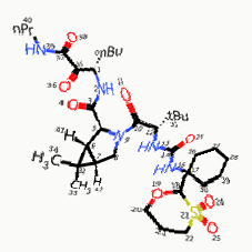 CCCC[C@H](NC(=O)[C@@H]1[C@@H]2[C@H](CN1C(=O)[C@@H](NC(=O)NC1(C3OCCCS3(=O)=O)CCCCC1)C(C)(C)C)C2(C)C)C(=O)C(=O)NCCC